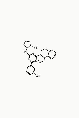 OCC1c2ccccc2CCN1c1nc(NC2CCCC2O)nc(-c2cccc(O)c2)n1